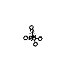 CC12C(=O)C(C)(C(c3ccccc3)=C1c1ccccc1)C(S(=O)(=O)c1nc3ccccc3s1)C2S(=O)(=O)c1ccccc1